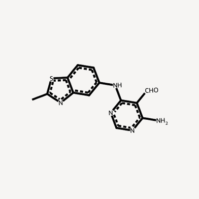 Cc1nc2cc(Nc3ncnc(N)c3C=O)ccc2s1